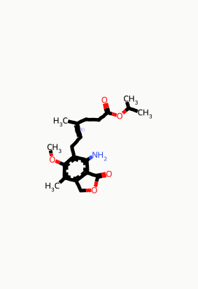 COc1c(C)c2c(c(N)c1C/C=C(\C)CCC(=O)OC(C)C)C(=O)OC2